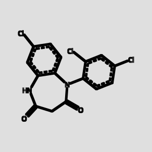 O=C1CC(=O)N(c2ccc(Cl)cc2Cl)c2ccc(Cl)cc2N1